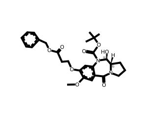 COc1cc2c(cc1OCCC(=O)OCc1ccccc1)N(C(=O)OC(C)(C)C)[C@@H](O)[C@@H]1CCCN1C2=O